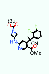 COC(=O)c1cnc(NC2CN(C(=O)OC(C)(C)C)C2)cc1C(C)(C#N)c1cccc(F)c1F